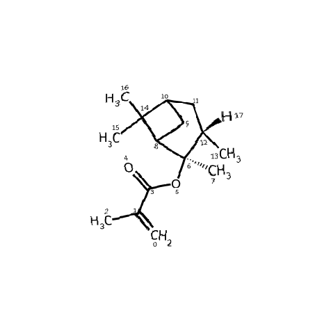 C=C(C)C(=O)O[C@@]1(C)C2CC(C[C@@H]1C)C2(C)C